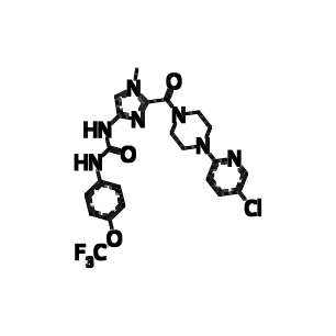 Cn1cc(NC(=O)Nc2ccc(OC(F)(F)F)cc2)nc1C(=O)N1CCN(c2ccc(Cl)cn2)CC1